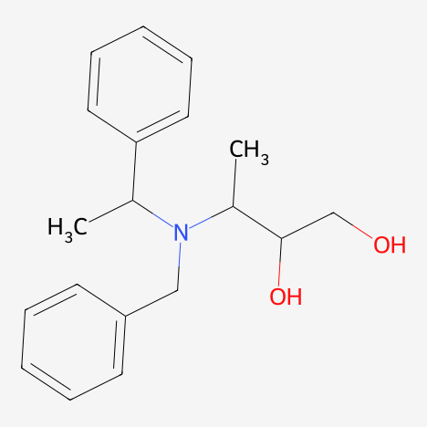 CC(c1ccccc1)N(Cc1ccccc1)C(C)C(O)CO